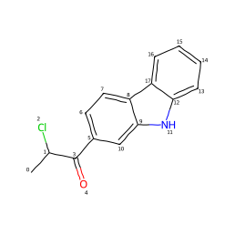 CC(Cl)C(=O)c1ccc2c(c1)[nH]c1ccccc12